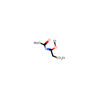 CCOC(=O)CC(=NC(=O)OC)OCC